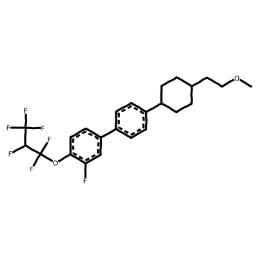 COCCC1CCC(c2ccc(-c3ccc(OC(F)(F)C(F)C(F)(F)F)c(F)c3)cc2)CC1